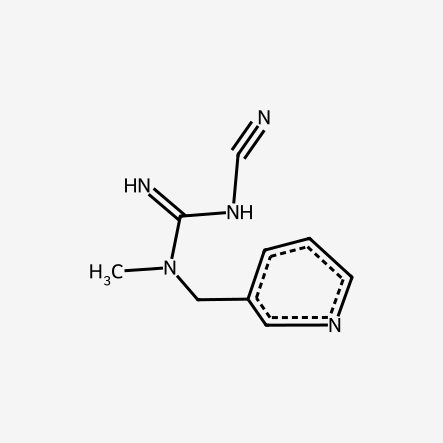 CN(Cc1cccnc1)C(=N)NC#N